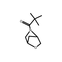 CC(C)(C)C(=O)N1CC2CC1CO2